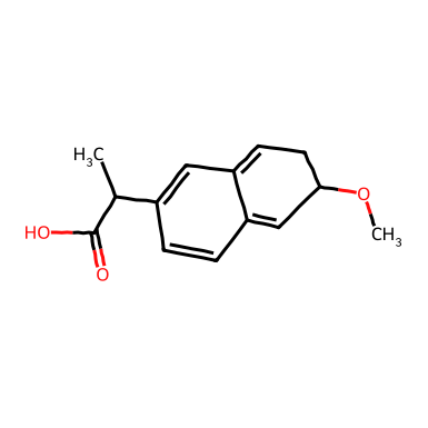 COC1C=c2ccc(C(C)C(=O)O)cc2=CC1